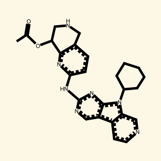 CC(=O)OC1CNCc2ccc(Nc3ncc4c5ccncc5n(C5CCCCC5)c4n3)nc21